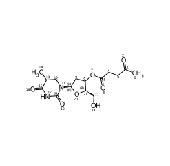 CC(=O)CCC(=O)OC1C[C@H](N2CC(C)C(=O)NC2=O)O[C@@H]1CO